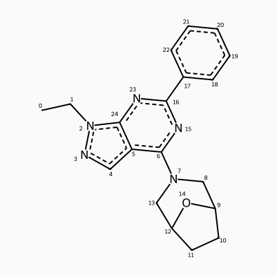 CCn1ncc2c(N3CC4CCC(C3)O4)nc(-c3ccccc3)nc21